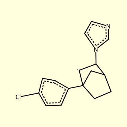 Clc1ccc(C23[C]C(n4ccnc4)C(CC2)C3)cc1